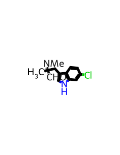 CN[C@](C)(C=O)Cc1c[nH]c2cc(Cl)ccc12